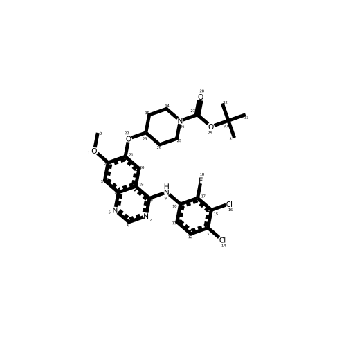 COc1cc2ncnc(Nc3ccc(Cl)c(Cl)c3F)c2cc1OC1CCN(C(=O)OC(C)(C)C)CC1